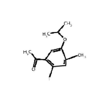 CC(=O)c1cc(OC(C)C)c(C)cc1I